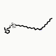 CCCCCCCC/C=C\CCCCCCCCCCCCOP(=O)(O)OCC[N+]1(CC)CCCC1